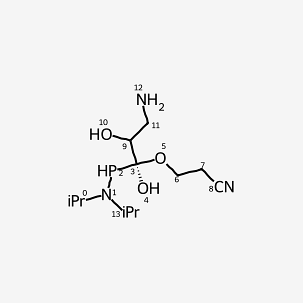 CC(C)N(P[C@](O)(OCCC#N)C(O)CN)C(C)C